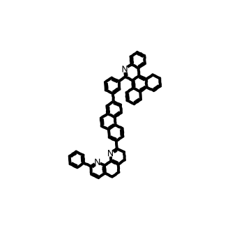 C1=Cc2c(c3c4ccccc4nc(-c4cccc(-c5ccc6c(ccc7cc(C8=NC9=C(CC8)CCc8ccc(-c%10ccccc%10)nc89)ccc76)c5)c4)c3c3ccccc23)CC1